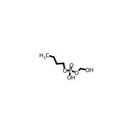 CCCCOP(=O)(O)OCO